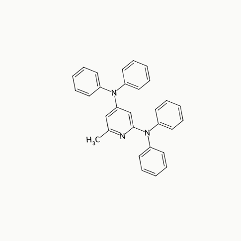 Cc1cc(N(c2ccccc2)c2ccccc2)cc(N(c2ccccc2)c2ccccc2)n1